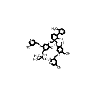 Cc1ccccc1C1=CC=CC(COc2cc(OCc3cncc(C#N)c3)c(CO)cc2Cl)(COc2cc(OCc3cncc(C#N)c3)c(CNC(C)(CO)C(=O)O)cc2Cl)C1C